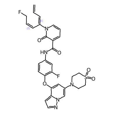 C=C/C=C(\C=C/CF)n1cccc(C(=O)Nc2ccc(Oc3cc(N4CCS(=O)(=O)CC4)cn4nccc34)c(F)c2)c1=O